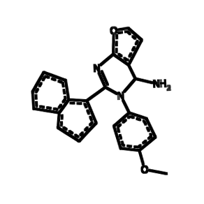 COc1ccc(N2C(c3cccc4ccccc34)=Nc3occc3C2N)cc1